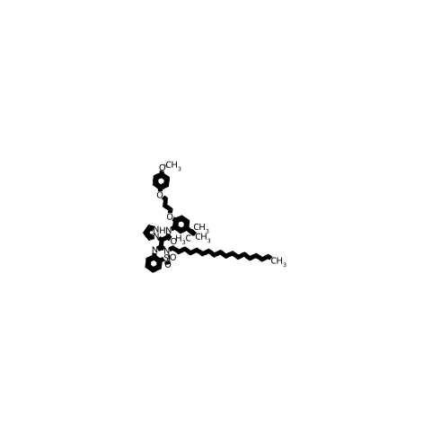 CCCCCCCCCCCCCCCCCCN1C(C(C(=O)Nc2cc(C(C)(C)C)ccc2OCCCOc2ccc(OC)cc2)n2cccn2)=Nc2ccccc2S1(=O)=O